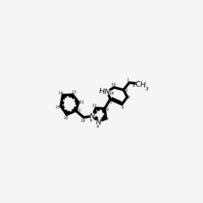 CCC1CC=C(c2cnn(Cc3ccccc3)c2)NC1